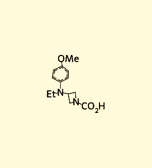 CCN(c1ccc(OC)cc1)C1CN(C(=O)O)C1